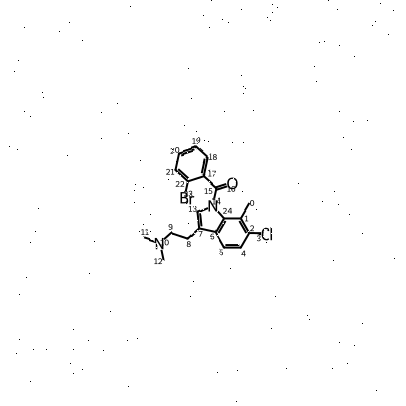 Cc1c(Cl)ccc2c(CCN(C)C)cn(C(=O)c3ccccc3Br)c12